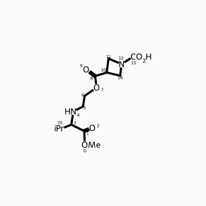 COC(=O)C(NCCOC(=O)C1CN(C(=O)O)C1)C(C)C